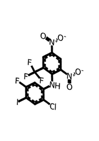 O=[N+]([O-])c1cc([N+](=O)[O-])c(Nc2cc(F)c(I)cc2Cl)c(C(F)(F)F)c1